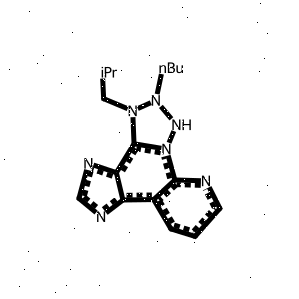 CCCCN1Nn2c(c3ncnc-3c3cccnc32)N1CC(C)C